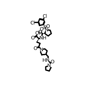 O=C(O)[C@H](CCC(=O)N1CCC(CNC(=O)N2CCCC2)CC1)NC(=O)[C@@H]1CCCN1S(=O)(=O)c1cc(Cl)cc(Cl)c1